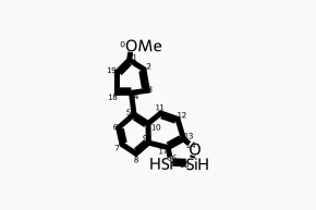 COc1ccc(-c2cccc3c2ccc2o[siH][siH]c23)cc1